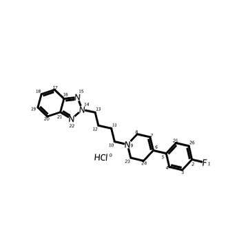 Cl.Fc1ccc(C2=CCN(CCCCn3nc4ccccc4n3)CC2)cc1